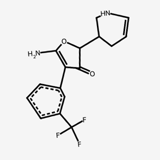 NC1=C(c2cccc(C(F)(F)F)c2)C(=O)C(C2CC=CNC2)O1